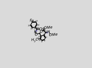 CO/N=C(/C(=O)OC)c1cccc(C)c1CO/N=C(\C)c1ccc(F)cc1